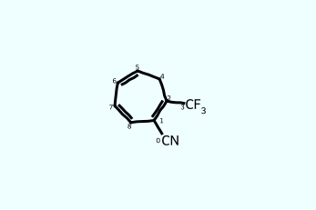 N#CC1=C(C(F)(F)F)CC=CC=C1